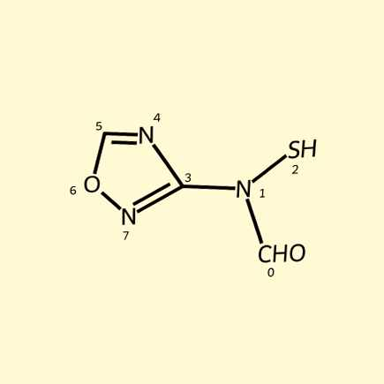 O=CN(S)c1ncon1